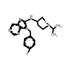 CC(C)N1CCC(Nc2nc3cncnc3n2Cc2ccc(F)cc2)CC1